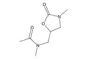 CC(=O)N(C)CC1CN(C)C(=O)O1